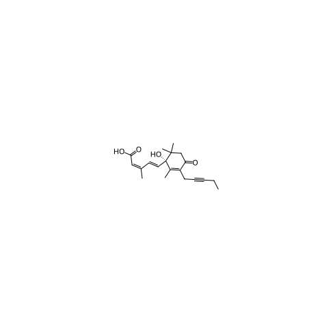 CCC#CCC1=C(C)[C@@](O)(/C=C/C(C)=C\C(=O)O)C(C)(C)CC1=O